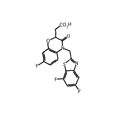 O=C(O)CC1Oc2cc(F)ccc2N(Cc2nc3cc(F)cc(F)c3s2)C1=O